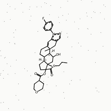 CCCSC(=O)C1(OC(=O)C2CCOCC2)CC[C@H]2C3CCC4=Cc5c(cnn5-c5ccc(F)cc5)CC4(C)[C@H]3C(O)CC21C